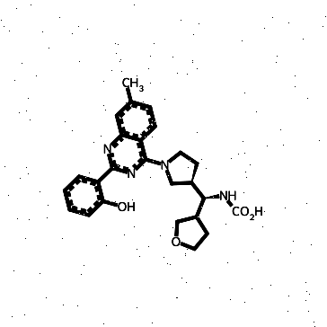 Cc1ccc2c(N3CC[C@@H]([C@@H](NC(=O)O)C4CCOC4)C3)nc(-c3ccccc3O)nc2c1